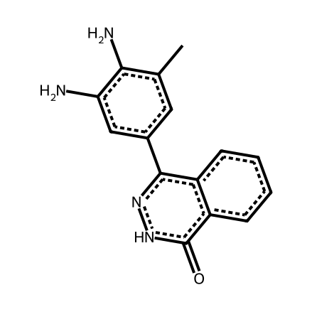 Cc1cc(-c2n[nH]c(=O)c3ccccc23)cc(N)c1N